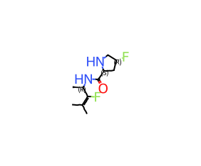 CC(C)=C(F)[C@@H](C)NC(=O)[C@@H]1C[C@@H](F)CN1